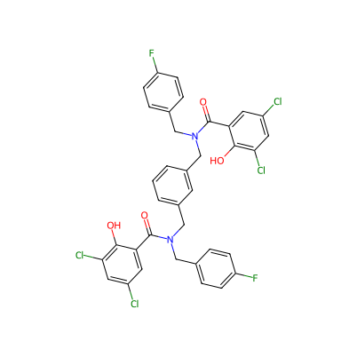 O=C(c1cc(Cl)cc(Cl)c1O)N(Cc1ccc(F)cc1)Cc1cccc(CN(Cc2ccc(F)cc2)C(=O)c2cc(Cl)cc(Cl)c2O)c1